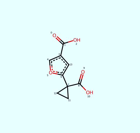 O=C(O)c1coc(C2(C(=O)O)CC2)c1